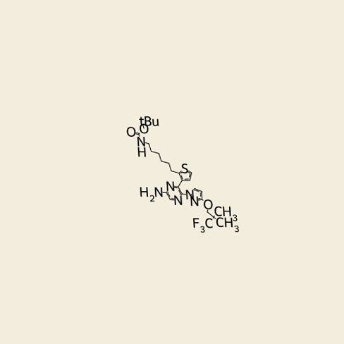 CC(C)(C)OC(=O)NCCCCCCc1sccc1-c1nc(N)cnc1-n1ccc(OCC(C)(C)C(F)(F)F)n1